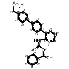 CC(OC(=O)Nc1ncnnc1-c1ccc(-c2ccc(CC(=O)O)cc2)cc1)c1ccccc1